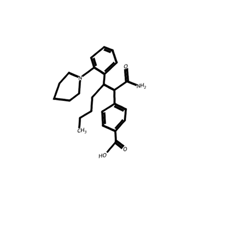 CCCCC(c1ccccc1N1CCCCC1)C(C(N)=O)c1ccc(C(=O)O)cc1